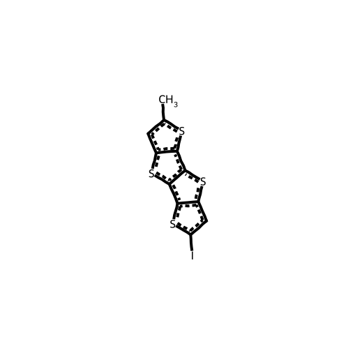 Cc1cc2sc3c4sc(I)cc4sc3c2s1